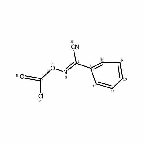 N#CC(=NOC(=O)Cl)c1ccccc1